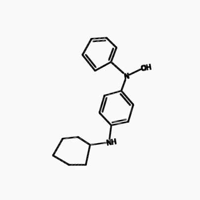 ON(c1ccccc1)c1ccc(NC2CCCCC2)cc1